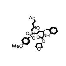 COc1ccc(S(=O)(=O)N(CCCCC(C)=O)C[C@H](O)[C@H](Cc2ccccc2)NC(=O)O[C@H]2CCOC2)cc1